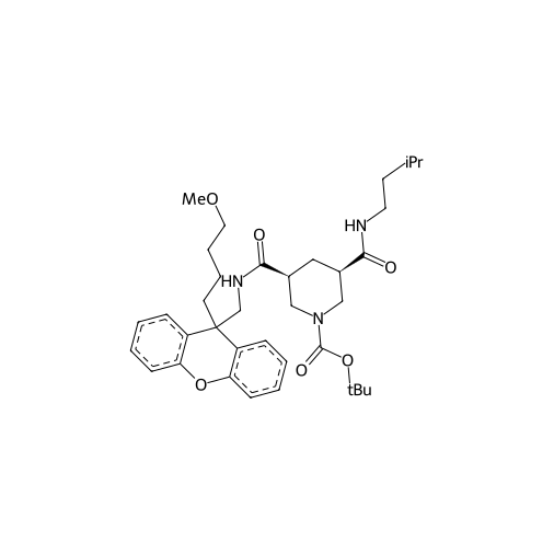 COCCCCC1(CNC(=O)[C@H]2C[C@@H](C(=O)NCCC(C)C)CN(C(=O)OC(C)(C)C)C2)c2ccccc2Oc2ccccc21